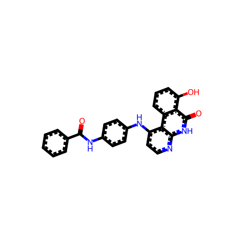 O=C(Nc1ccc(Nc2ccnc3[nH]c(=O)c4c(O)cccc4c23)cc1)c1ccccc1